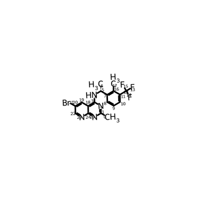 Cc1nc(N[C@H](C)c2cccc(C(F)(F)F)c2C)c2cc(Br)cnc2n1